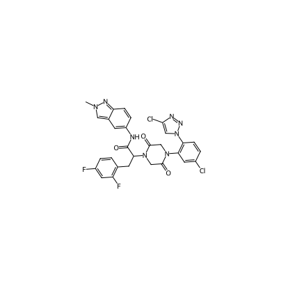 Cn1cc2cc(NC(=O)C(Cc3ccc(F)cc3F)N3CC(=O)N(c4cc(Cl)ccc4-n4cc(Cl)nn4)CC3=O)ccc2n1